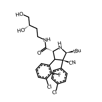 CC(C)(C)[C@@H]1N[C@@H](C(=O)NCC[C@H](O)CO)C(c2cccc(Cl)c2F)[C@@]1(C#N)c1ccc(Cl)cc1